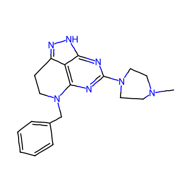 CN1CCN(c2nc3c4c(n[nH]c4n2)CCN3Cc2ccccc2)CC1